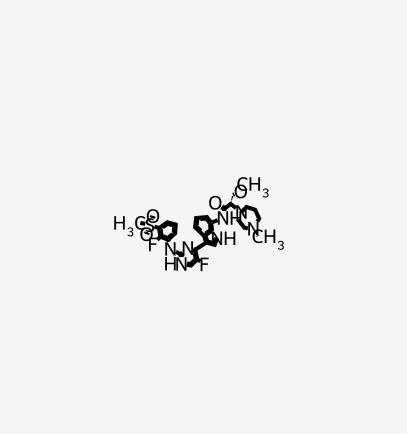 COC[C@@H](C(=O)Nc1cccc2c(-c3nc(Nc4cccc(S(C)(=O)=O)c4F)ncc3F)c[nH]c12)N1CCCN(C)CC1